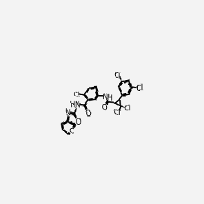 O=C(Nc1nc2ccccc2o1)c1cc(NC(=O)C2C(c3cc(Cl)cc(Cl)c3)C2(Cl)Cl)ccc1Cl